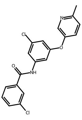 Cc1ccc(Oc2cc(Cl)cc(NC(=O)c3cccc(Cl)c3)c2)cn1